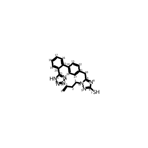 C=CCCn1nc(S)nc1Cc1ccc(-c2ccccc2-c2nnn[nH]2)cc1